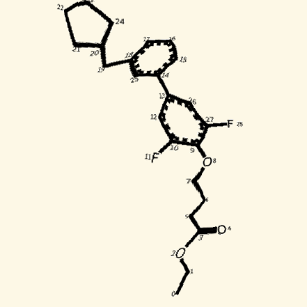 CCOC(=O)CCCOc1c(F)cc(-c2cccc(CC3CCCC3)c2)cc1F